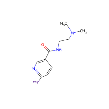 CN(C)CCNC(=O)c1ccc([123I])nc1